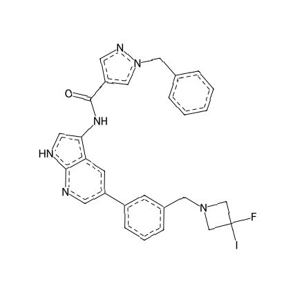 O=C(Nc1c[nH]c2ncc(-c3cccc(CN4CC(F)(I)C4)c3)cc12)c1cnn(Cc2ccccc2)c1